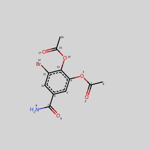 CC(=O)Oc1cc(C(N)=O)cc(Br)c1OC(C)=O